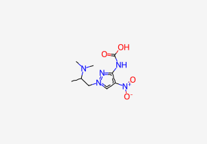 CC(Cn1cc([N+](=O)[O-])c(NC(=O)O)n1)N(C)C